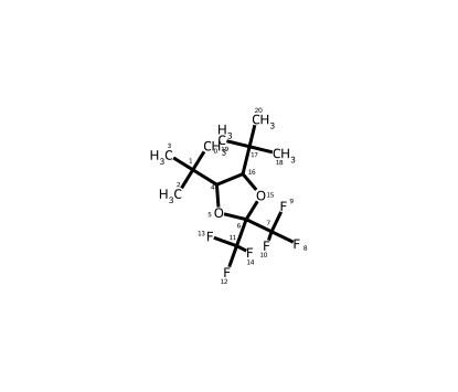 CC(C)(C)C1OC(C(F)(F)F)(C(F)(F)F)OC1C(C)(C)C